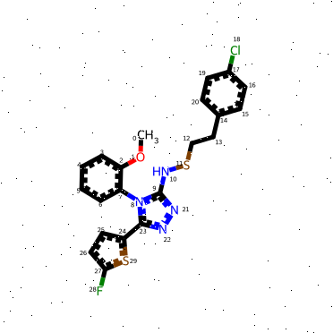 COc1ccccc1-n1c(NSCCc2ccc(Cl)cc2)nnc1-c1ccc(F)s1